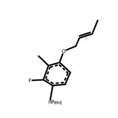 C/C=C/COc1ccc(CCCCC)c(F)c1C